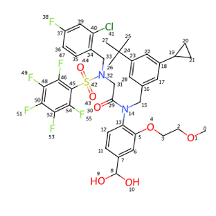 COCCOc1cc(C(O)O)ccc1N(Cc1cc(C2CC2)cc(C(C)(C)C)c1)C(=O)CN(Cc1ccc(F)cc1Cl)S(=O)(=O)c1c(F)c(F)c(F)c(F)c1F